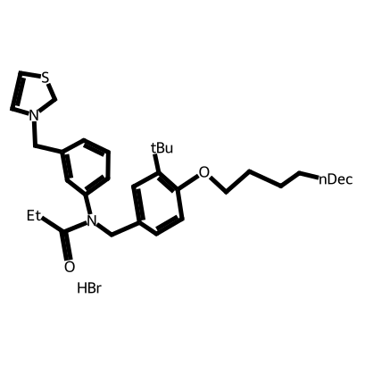 Br.CCCCCCCCCCCCCCOc1ccc(CN(C(=O)CC)c2cccc(CN3C=CSC3)c2)cc1C(C)(C)C